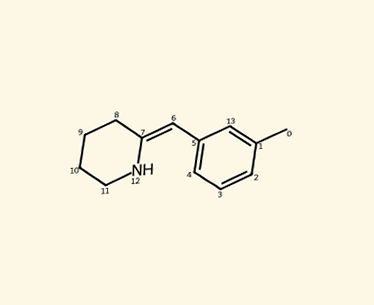 Cc1cccc(/C=C2/CCCCN2)c1